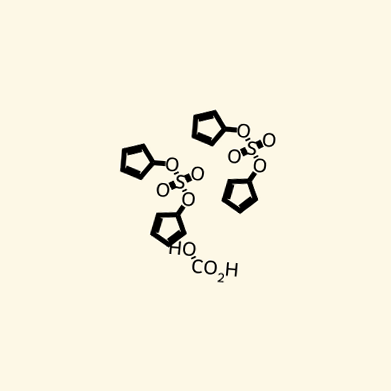 O=C(O)O.O=S(=O)(OC1C=CC=C1)OC1C=CC=C1.O=S(=O)(OC1C=CC=C1)OC1C=CC=C1